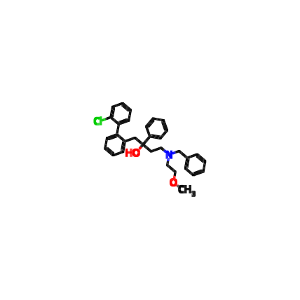 COCCN(CCC(O)(Cc1ccccc1-c1ccccc1Cl)c1ccccc1)Cc1ccccc1